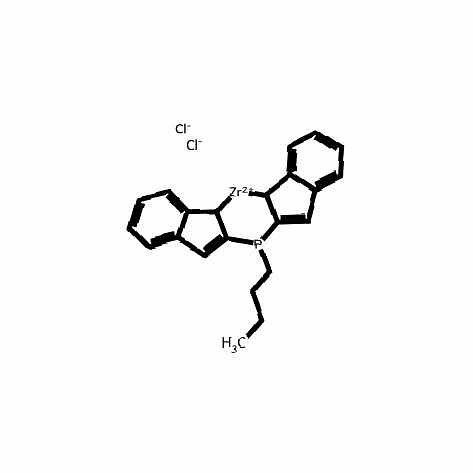 CCCCP1C2=Cc3ccccc3[CH]2[Zr+2][CH]2C1=Cc1ccccc12.[Cl-].[Cl-]